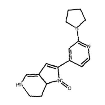 O=[N+]1C(c2ccnc(N3CCCC3)c2)=CC2=CNCCC21